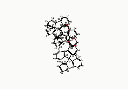 c1ccc(-c2ccccc2-c2c(-c3ccccc3)cccc2N(c2cccc(-c3cccc4c5ccccc5n(-c5ccccc5)c34)c2)c2ccc3c(c2)C(c2ccccc2)(c2ccccc2)c2ccccc2-3)cc1